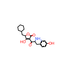 NC(Cc1ccc(O)cc1)C(=O)C1=C(O)C(CC2CCCCC2)OC1=O